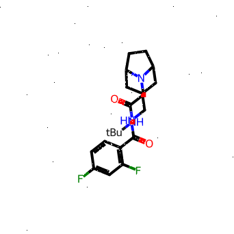 CC(C)(C)NC(=O)CN1C2CCC1CC(CNC(=O)c1ccc(F)cc1F)C2